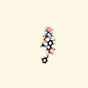 O=C(OCc1ccccc1)c1cn(C2CC2)c2c3c(c(F)cc2c1=O)N1CC[C@](O)(CO)C[C@H]1CO3